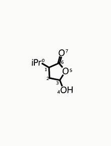 CC(C)C1CC(O)OC1=O